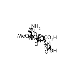 CON=C(C(=O)NC1C(=O)N2CC(CSc3nc(=O)c(O)cn3C)(C(=O)O)CS[C@H]12)c1csc(N)n1